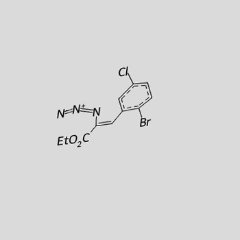 CCOC(=O)C(=Cc1cc(Cl)ccc1Br)N=[N+]=[N-]